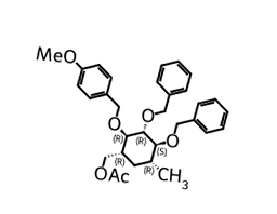 COc1ccc(CO[C@@H]2[C@@H](COC(C)=O)C[C@@H](C)[C@H](OCc3ccccc3)[C@H]2OCc2ccccc2)cc1